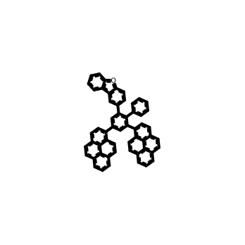 c1ccc(-c2c(-c3ccc4oc5ccccc5c4c3)cc(-c3ccc4ccc5cccc6ccc3c4c56)cc2-c2ccc3ccc4cccc5ccc2c3c45)cc1